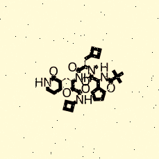 CN(C(=O)[C@H](NC(=O)C(C)(C)C)C1CCCC1)[C@@H](CC1CCC1)C(=O)N[C@@H](C[C@@H]1CCCNC1=O)C(=O)C(=O)NC1CCC1